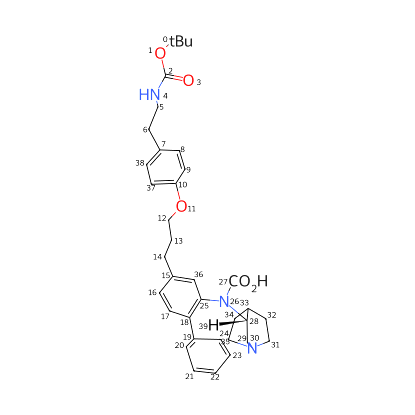 CC(C)(C)OC(=O)NCCc1ccc(OCCCc2ccc(-c3ccccc3)c(N(C(=O)O)[C@H]3CN4CCC3CC4)c2)cc1